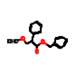 O=COCC(C(=O)OCc1ccccc1)c1ccccc1